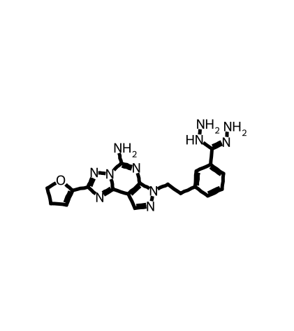 N/N=C(\NN)c1cccc(CCn2ncc3c2nc(N)n2nc(C4=CCCO4)nc32)c1